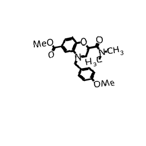 COC(=O)c1ccc2c(c1)N(Cc1ccc(OC)cc1)CC(C(=O)N(C)C)O2